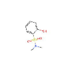 CN(C)S(=O)(=O)c1ccccc1O